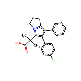 CC(C)(C(=O)O)c1c(-c2ccc(Cl)cc2)c(-c2ccccc2)c2n1CCC2